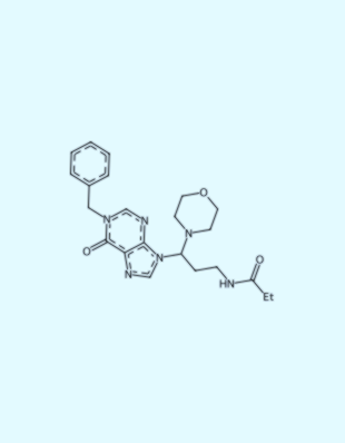 CCC(=O)NCCC(N1CCOCC1)n1cnc2c(=O)n(Cc3ccccc3)cnc21